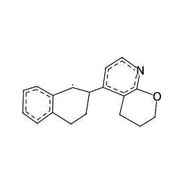 [CH]1c2ccccc2CCC1c1ccnc2c1CCCO2